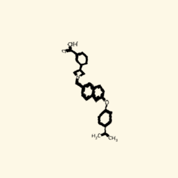 CC(C)[C@H]1CC[C@@H](Oc2ccc3cc(CN4CC(C5CCCC(C(=O)O)C5)C4)ccc3c2)CC1